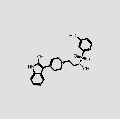 Cc1cccc(S(=O)(=O)N(C)CCN2CC=C(c3c(C)[nH]c4ccccc34)CC2)c1